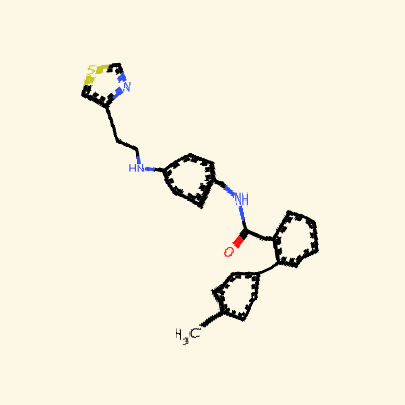 Cc1ccc(-c2ccccc2C(=O)Nc2ccc(NCCc3cscn3)cc2)cc1